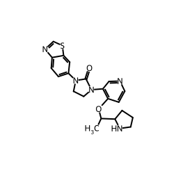 CC(Oc1ccncc1N1CCN(c2ccc3ncsc3c2)C1=O)C1CCCN1